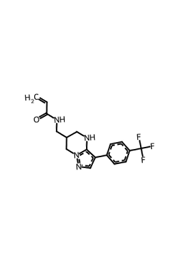 C=CC(=O)NCC1CNc2c(-c3ccc(C(F)(F)F)cc3)cnn2C1